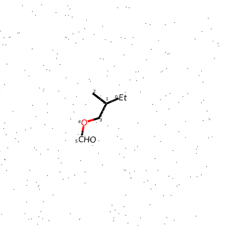 CCC(C)COC=O